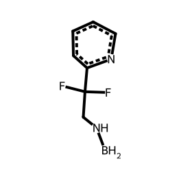 BNCC(F)(F)c1ccccn1